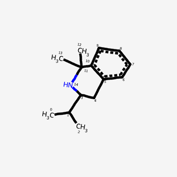 CC(C)C1Cc2ccccc2C(C)(C)N1